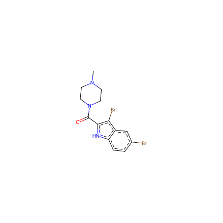 CN1CCN(C(=O)c2[nH]c3ccc(Br)cc3c2Br)CC1